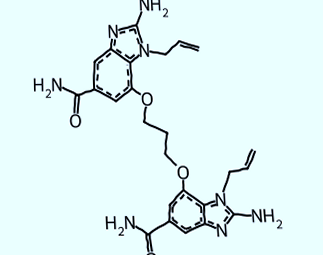 C=CCn1c(N)nc2cc(C(N)=O)cc(OCCCOc3cc(C(N)=O)cc4nc(N)n(CC=C)c34)c21